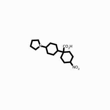 O=C(O)C1(C2CCC(N3CCCC3)CC2)CCC([N+](=O)[O-])CC1